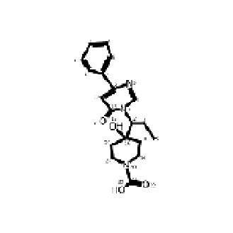 CCC(n1cnc(-c2ccccc2)cc1=O)C1(O)CCN(C(=O)O)CC1